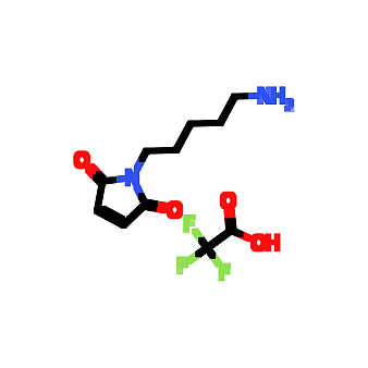 NCCCCCN1C(=O)C=CC1=O.O=C(O)C(F)(F)F